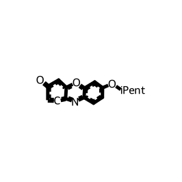 CCCC(C)Oc1ccc2nc3ccc(=O)cc-3oc2c1